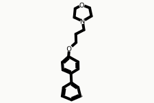 [c]1cccc(-c2ccc(OCCCN3CCOCC3)cc2)c1